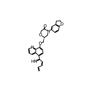 C=C/C=C\C(=N)c1ccc(OC[C@@H]2CN(c3ccc4c(c3)CCO4)C(=O)CO2)c2ncccc12